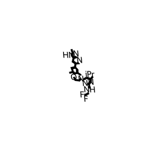 Cc1nc2ncc(-c3cc(C)c4c(c3)CN(c3nc(CNCC(F)F)nc(C)c3C(C)C)CCO4)cc2[nH]1